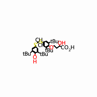 CC(C)(Sc1cc(C(C)(C)C)c(O)c(C(C)(C)C)c1)Sc1cc(C(C)(C)C)c(OCCC(O)C(=O)O)c(C(C)(C)C)c1